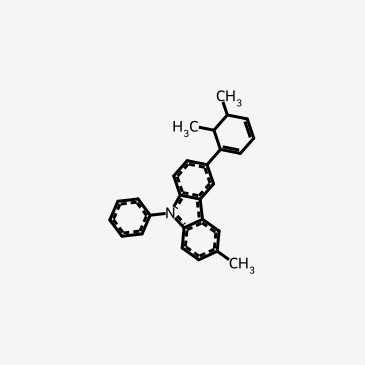 Cc1ccc2c(c1)c1cc(C3=CC=CC(C)C3C)ccc1n2-c1ccccc1